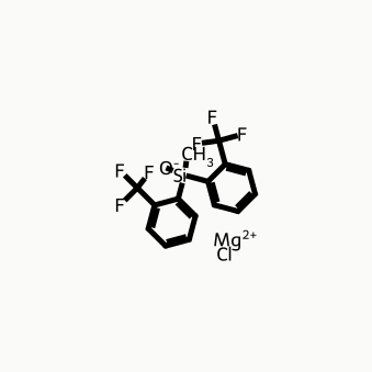 C[Si]([O-])(c1ccccc1C(F)(F)F)c1ccccc1C(F)(F)F.[Cl-].[Mg+2]